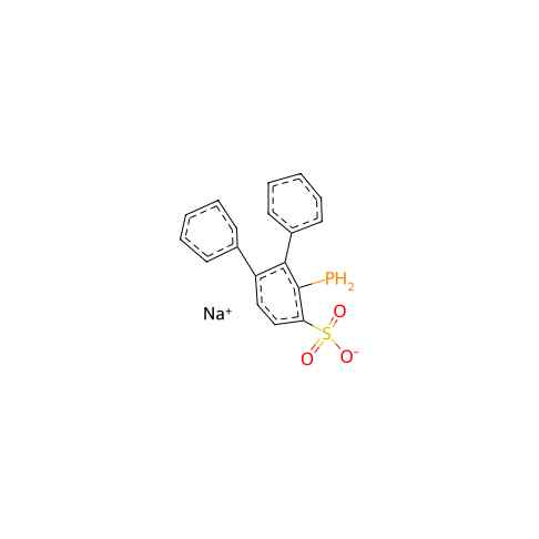 O=S(=O)([O-])c1ccc(-c2ccccc2)c(-c2ccccc2)c1P.[Na+]